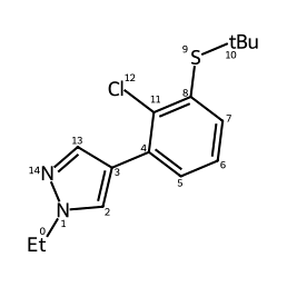 CCn1cc(-c2cccc(SC(C)(C)C)c2Cl)cn1